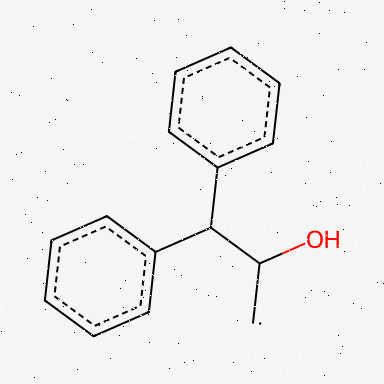 [CH2]C(O)C(c1ccccc1)c1ccccc1